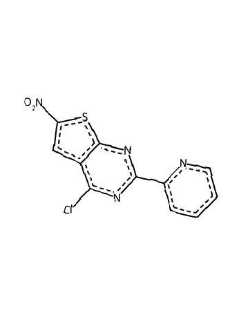 O=[N+]([O-])c1cc2c(Cl)nc(-c3ccccn3)nc2s1